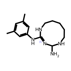 Cc1cc(C)cc(N/C2=N/C(N)NCCCCCN2)c1